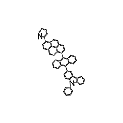 c1ccc(-n2c3ccccc3c3cc(-c4c5ccccc5c(-c5ccc6ccc7c(-c8ccccn8)ccc8ccc5c6c87)c5ccccc45)ccc32)cc1